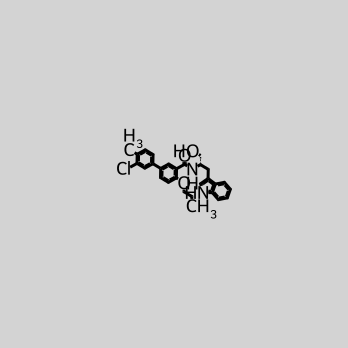 CCCOc1ccc(-c2ccc(C)c(Cl)c2)cc1C(=O)N[C@H](CO)Cc1c[nH]c2ccccc12